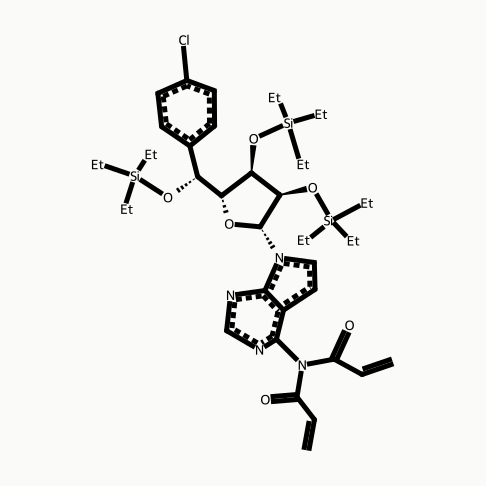 C=CC(=O)N(C(=O)C=C)c1ncnc2c1ccn2[C@@H]1O[C@H]([C@H](O[Si](CC)(CC)CC)c2ccc(Cl)cc2)[C@@H](O[Si](CC)(CC)CC)[C@H]1O[Si](CC)(CC)CC